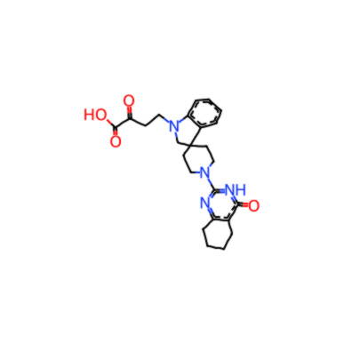 O=C(O)C(=O)CCN1CC2(CCN(c3nc4c(c(=O)[nH]3)CCCC4)CC2)c2ccccc21